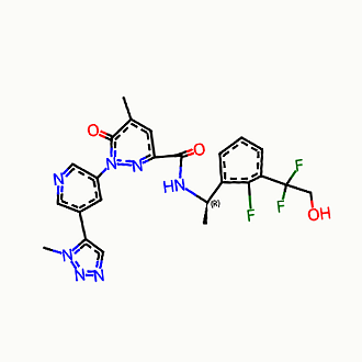 Cc1cc(C(=O)N[C@H](C)c2cccc(C(F)(F)CO)c2F)nn(-c2cncc(-c3cnnn3C)c2)c1=O